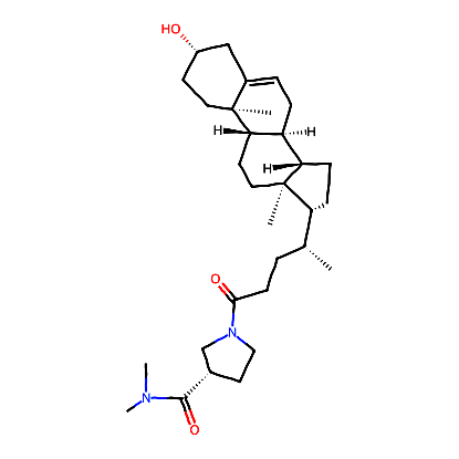 C[C@H](CCC(=O)N1CC[C@H](C(=O)N(C)C)C1)[C@H]1CC[C@H]2[C@@H]3CC=C4C[C@@H](O)CC[C@]4(C)[C@H]3CC[C@]12C